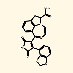 CNC(=O)C1Cc2cccc3c2N1C=CN=C3C1=C(c2cccc3c2OCO3)C(=O)NC1=O